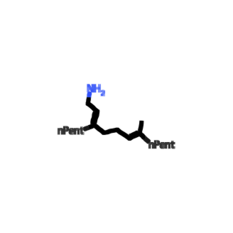 CCCCCC(C)=CCCC(=CCN)CCCCC